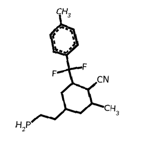 Cc1ccc(C(F)(F)C2CC(CCP)CC(C)C2C#N)cc1